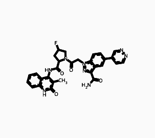 Cc1c(NC(=O)C2CC(F)CN2C(=O)Cn2nc(C(N)=O)c3cc(-c4ccnnc4)ccc32)c2ccccc2[nH]c1=O